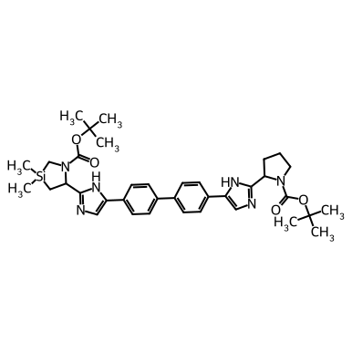 CC(C)(C)OC(=O)N1CCCC1c1ncc(-c2ccc(-c3ccc(-c4cnc(C5C[Si](C)(C)CN5C(=O)OC(C)(C)C)[nH]4)cc3)cc2)[nH]1